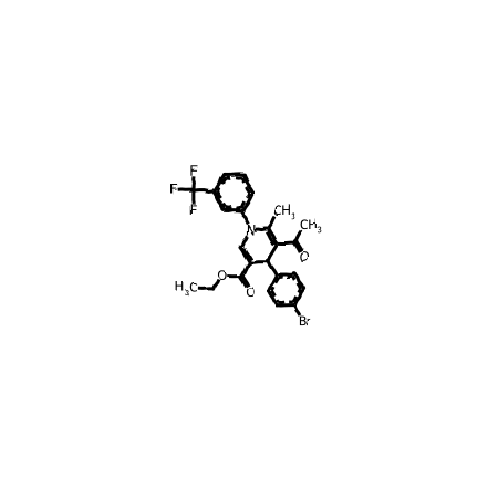 CCOC(=O)C1=CN(c2cccc(C(F)(F)F)c2)C(C)=C(C(C)=O)C1c1ccc(Br)cc1